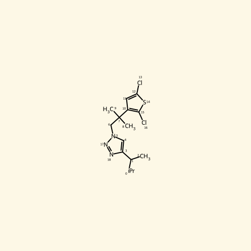 CC(C)C(C)c1cn(CC(C)(C)c2cc(Cl)sc2Cl)nn1